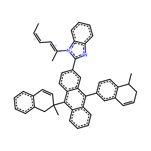 C/C=C\C=C(/C)n1c(-c2ccc3c(C4(C)C=Cc5ccccc5C4)c4ccccc4c(-c4ccc5c(c4)C=CCC5C)c3c2)nc2ccccc21